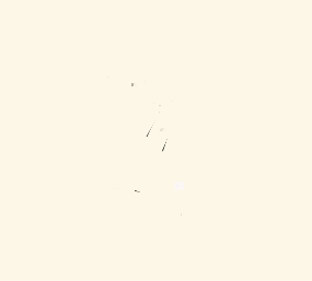 C=C1CC[C@@H]2[C@]3(C)CO[C@@H]3CC[C@@]2(C)[C@@H]1C/C=C1/C(=O)OC[C@H]1O